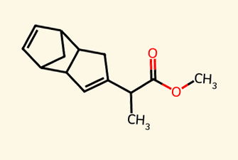 COC(=O)C(C)C1=CC2C3C=CC(C3)C2C1